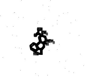 CN1C[C@](C)(C(=O)O)C=C2c3cccc4[nH]cc(c34)C[C@H]21